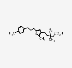 Cc1ccc(CCCc2cc(CCC(C)(C)CC(=O)O)c(C)s2)cc1